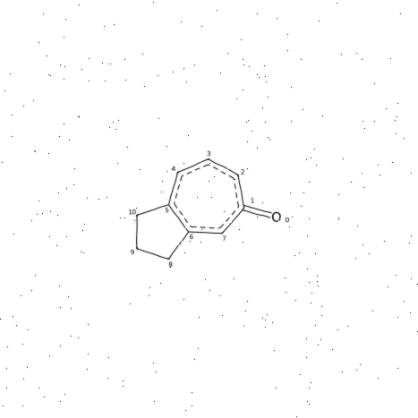 O=c1cccc2c(c1)CCC2